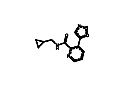 O=C(NCC1CC1)c1ncccc1-c1cnno1